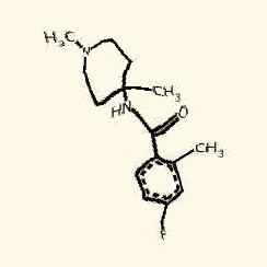 Cc1cc(F)ccc1C(=O)NC1(C)CCN(C)CC1